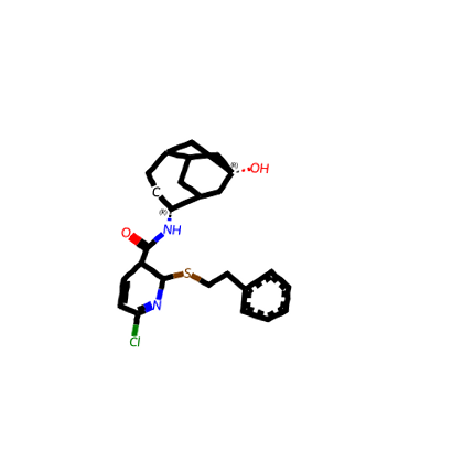 O=C(N[C@@H]1CCC2C[C@@]3(O)CC2CC1C3)C1C=CC(Cl)=NC1SCCc1ccccc1